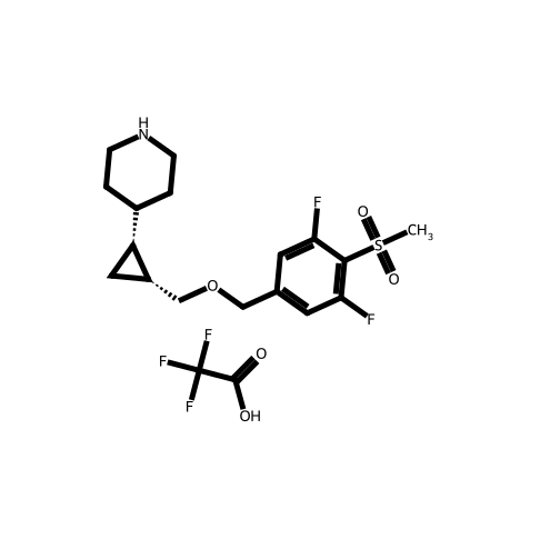 CS(=O)(=O)c1c(F)cc(COC[C@@H]2C[C@@H]2C2CCNCC2)cc1F.O=C(O)C(F)(F)F